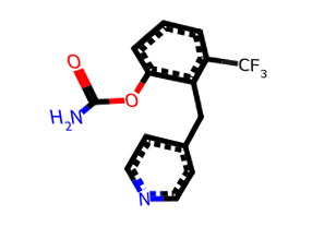 NC(=O)Oc1cccc(C(F)(F)F)c1Cc1ccncc1